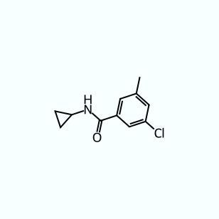 Cc1cc(Cl)cc(C(=O)NC2CC2)c1